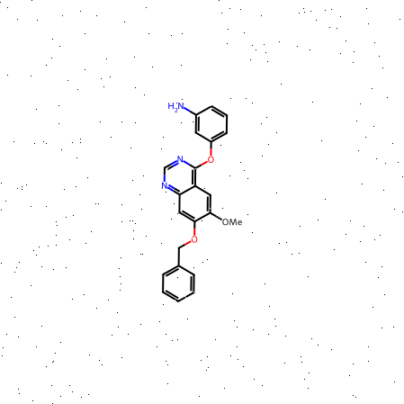 COc1cc2c(Oc3cccc(N)c3)ncnc2cc1OCc1ccccc1